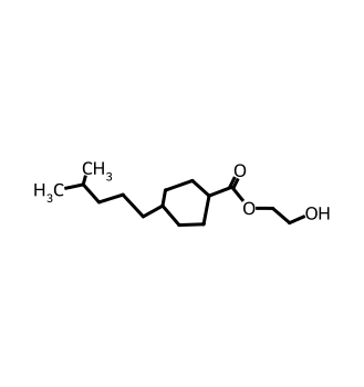 CC(C)CCCC1CCC(C(=O)OCCO)CC1